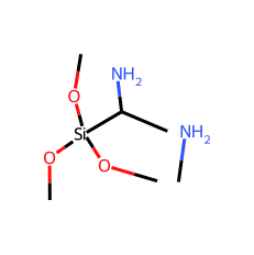 CN.CO[Si](OC)(OC)C(C)N